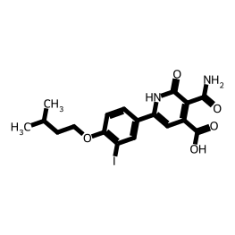 CC(C)CCOc1ccc(-c2cc(C(=O)O)c(C(N)=O)c(=O)[nH]2)cc1I